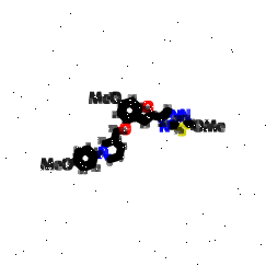 COc1ccc(N2CCCC(COc3cc(OC)cc4oc(-c5cn6nc(OC)sc6n5)cc34)C2)cc1